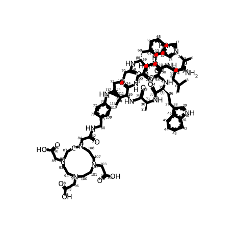 CC(C)CC(CC(C)C)NC(=O)[C@H](Cc1cnc[nH]1)NC(=O)CNC(=O)[C@@H](NC(=O)[C@H](C)NC(=O)[C@H](CCc1c[nH]c2ccccc12)NC(=O)[C@H](CCC(N)=O)NC(=O)[C@@H](Cc1ccccc1)NC(=O)COCC(=O)Nc1ccc(CNC(=O)CN2CCN(CC(=O)O)CCN(CC(=O)O)CCN(CC(=O)O)CC2)cc1)C(C)C